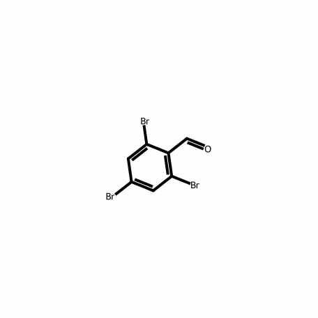 O=Cc1c(Br)cc(Br)cc1Br